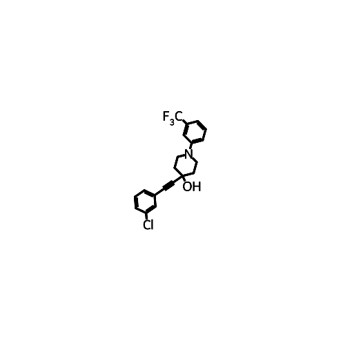 OC1(C#Cc2cccc(Cl)c2)CCN(c2cccc(C(F)(F)F)c2)CC1